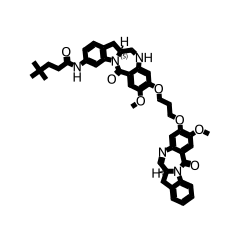 COc1cc2c(cc1OCCCOc1cc3c(cc1OC)C(=O)N1c4cc(NC(=O)CCC(C)(C)C)ccc4C[C@H]1CN3)N=C[C@@H]1Cc3ccccc3N1C2=O